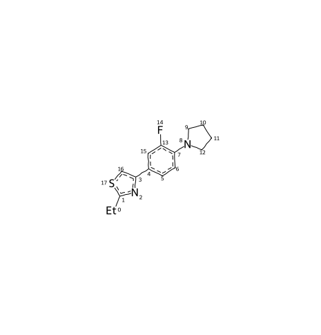 CCc1nc(-c2ccc(N3CCCC3)c(F)c2)cs1